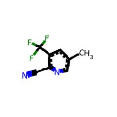 Cc1cnc(C#N)c(C(F)(F)F)c1